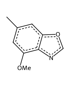 COc1cc(C)cc2ocnc12